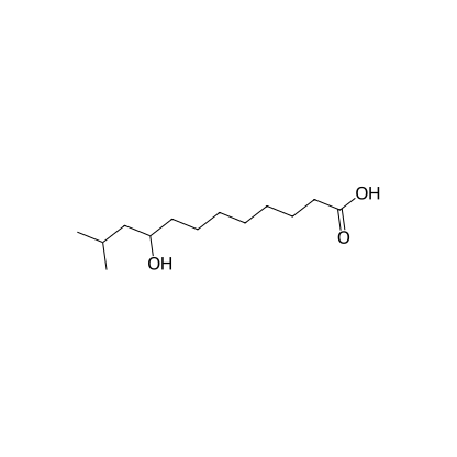 CC(C)CC(O)CCCCCCCC(=O)O